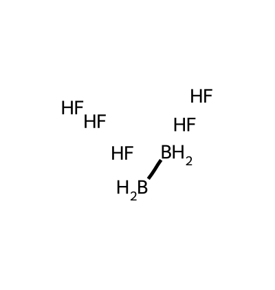 BB.F.F.F.F.F